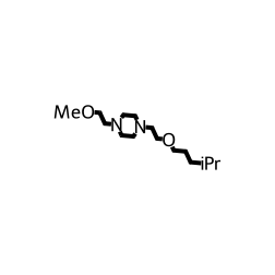 COCCN1CCN(CCOCCCC(C)C)CC1